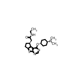 CCNC(=O)C[C@@H]1CCc2sc3ncnc(O[C@H]4CC[C@H](N(C)C)CC4)c3c21